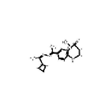 C/C(=N/N=C(\C)c1ccc2c(c1)N(C)C(=O)CCO2)C1CCC1